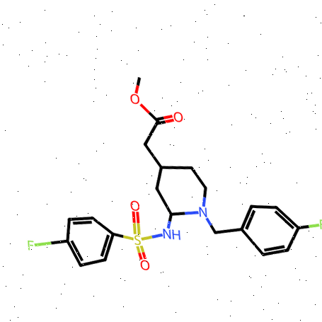 COC(=O)CC1CCN(Cc2ccc(F)cc2)C(NS(=O)(=O)c2ccc(F)cc2)C1